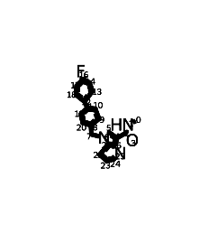 CNC(=O)c1cn(Cc2ccc(-c3ccc(F)cc3)cc2)c2cccnc12